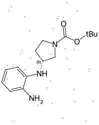 CC(C)(C)OC(=O)N1CC[C@@H](Nc2ccccc2N)C1